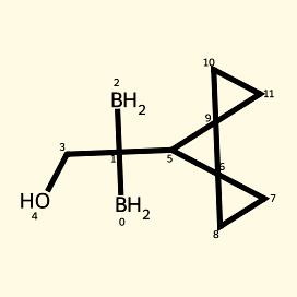 BC(B)(CO)C1C2(CC2)C12CC2